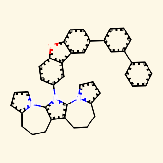 c1ccc(-c2cccc(-c3ccc4oc5ccc(-n6c7c(c8c6-n6cccc6CCC8)CCCc6cccn6-7)cc5c4c3)c2)cc1